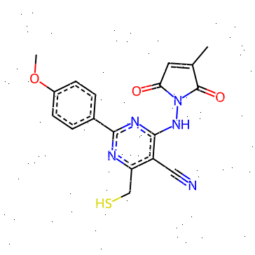 COc1ccc(-c2nc(CS)c(C#N)c(NN3C(=O)C=C(C)C3=O)n2)cc1